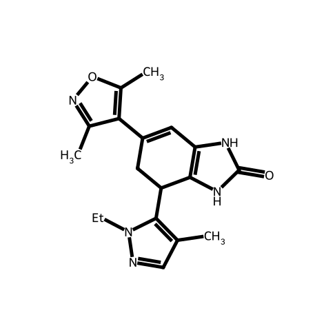 CCn1ncc(C)c1C1CC(c2c(C)noc2C)=Cc2[nH]c(=O)[nH]c21